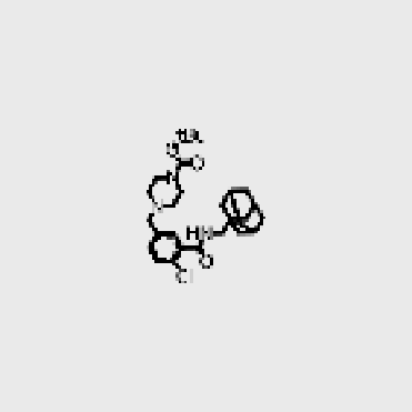 CC(C)(C)OC(=O)N1CCN(Cc2ccc(Cl)c(C(=O)NCC34CC5CC(CC(C5)C3)C4)c2)CC1